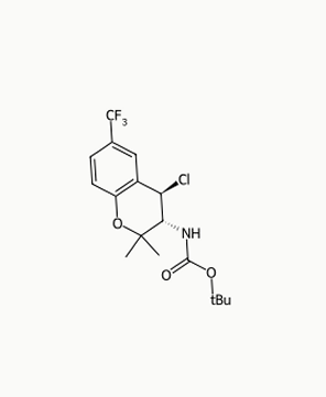 CC(C)(C)OC(=O)N[C@H]1[C@H](Cl)c2cc(C(F)(F)F)ccc2OC1(C)C